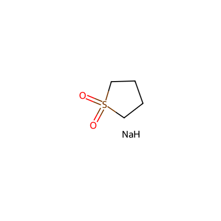 O=S1(=O)CCCC1.[NaH]